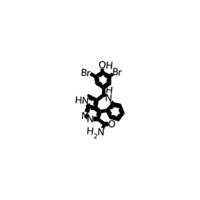 NC(=O)c1nnc2[nH]cc3c2c1-c1ccccc1NC3c1cc(Br)c(O)c(Br)c1